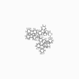 CC1(C)c2ccccc2-c2ccc(N(c3ccc4c(c3)C=C(c3ccccc3)N/C4=C(\C(=N)c3ccccc3)c3ccccc3)c3ccc4c(c3)C3(c5ccccc5-c5ccccc53)c3ccccc3-4)cc21